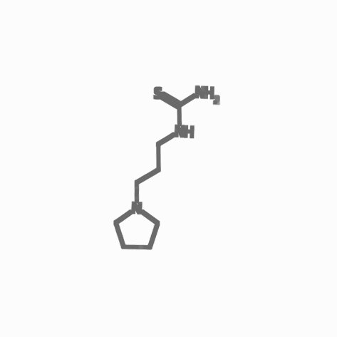 NC(=S)NCCCN1CCCC1